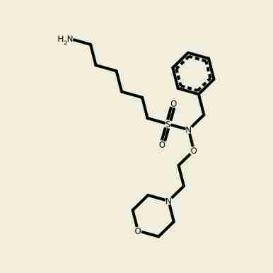 NCCCCCCS(=O)(=O)N(Cc1ccccc1)OCCN1CCOCC1